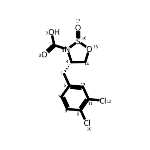 O=C(O)N1[C@@H](Cc2ccc(Cl)c(Cl)c2)COS1=O